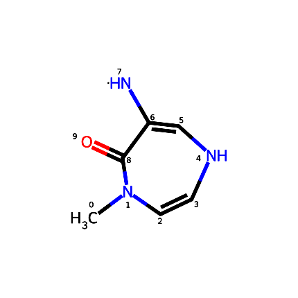 CN1C=CNC=C([NH])C1=O